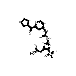 CS(=O)(=O)c1sc(NC(=O)Nc2ccnc(C(=O)C3CCCC3)c2)nc1CC(=O)O